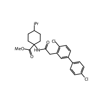 COC(=O)C1(NC(=O)Cc2cc(-c3ccc(Cl)cc3)ccc2Cl)CCC(C(C)C)CC1